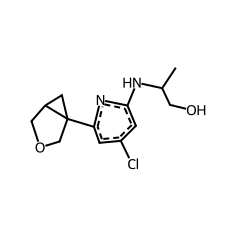 CC(CO)Nc1cc(Cl)cc(C23COCC2C3)n1